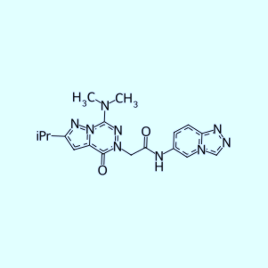 CC(C)c1cc2c(=O)n(CC(=O)Nc3ccc4nncn4c3)nc(N(C)C)n2n1